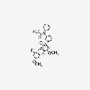 COc1ccc(Cn2c(=O)c(OC)nn(-c3cccc(N(C(C)=O)c4ccccc4)c3)c2=O)c(F)c1